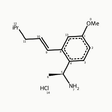 COc1ccc([C@H](C)N)c(/C=C/CC(C)C)c1.Cl